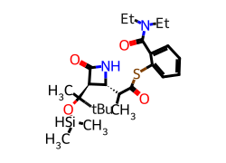 CCN(CC)C(=O)c1ccccc1SC(=O)C(C)[C@H]1NC(=O)[C@@H]1C(C)(O[SiH](C)C)C(C)(C)C